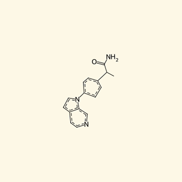 CC(C(N)=O)c1ccc(-n2ccc3ccncc32)cc1